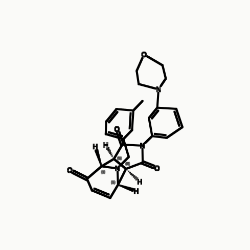 Cc1cccc(CN2[C@@H]3C(=O)C=C[C@H]2[C@@H]2C(=O)N(c4cccc(N5CCOCC5)c4)C(=O)[C@@H]23)c1